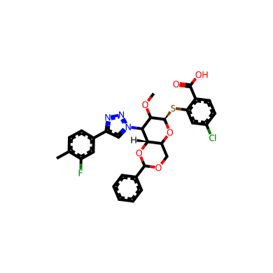 COC1C(n2cc(-c3ccc(C)c(F)c3)nn2)[C@H]2OC(c3ccccc3)OCC2O[C@@H]1Sc1cc(Cl)ccc1C(=O)O